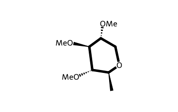 CO[C@@H]1[C@@H](OC)[C@H](OC)CO[C@H]1C